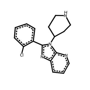 Clc1ccccc1-c1nc2cccnc2n1C1CCNCC1